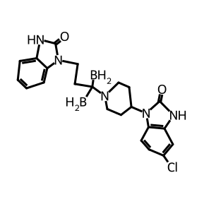 BC(B)(CCn1c(=O)[nH]c2ccccc21)N1CCC(n2c(=O)[nH]c3cc(Cl)ccc32)CC1